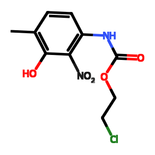 Cc1ccc(NC(=O)OCCCl)c([N+](=O)[O-])c1O